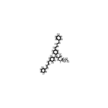 C=C(/C=C\C(=C(C)C)N(c1ccc(/C=C/C=C/c2ccccc2)cc1)c1ccc(/C=C/C=C/c2ccccc2)cc1)OCC